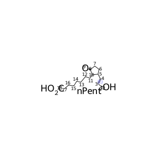 CCCCCC(O)/C=C/C1CCC(=O)C1CCCCCCCC(=O)O